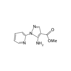 COC(=O)c1cnn(-c2ccccn2)c1N